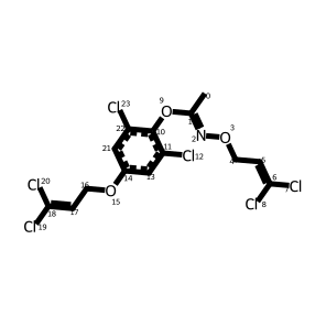 CC(=NOCC=C(Cl)Cl)Oc1c(Cl)cc(OCC=C(Cl)Cl)cc1Cl